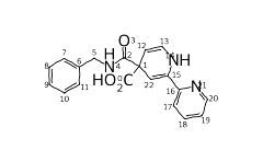 O=C(O)C1(C(=O)NCc2ccccc2)C=CNC(c2ccccn2)=C1